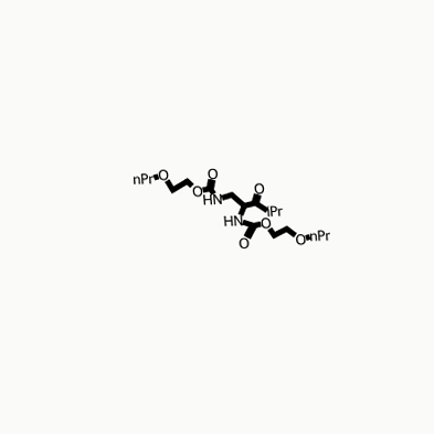 CCCOCCOC(=O)NCC(NC(=O)OCCOCCC)C(=O)C(C)C